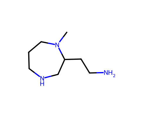 CN1CCCNCC1CCN